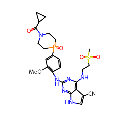 COc1cc(P2(=O)CCN(C(=O)C3CC3)CC2)ccc1Nc1nc(NCCS(C)(=O)=O)c2c(C#N)c[nH]c2n1